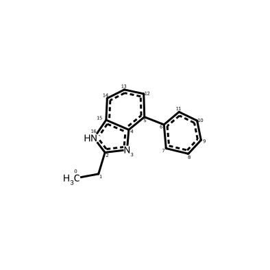 CCc1nc2c(-c3ccccc3)cccc2[nH]1